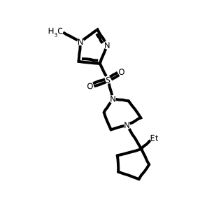 CCC1(N2CCN(S(=O)(=O)c3cn(C)cn3)CC2)CCCC1